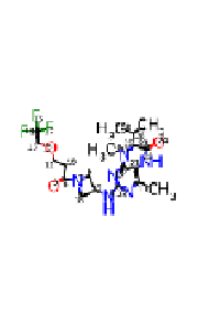 Cc1nc(NC2CN(C(=O)CCOCC(F)(F)F)C2)nc2c1NC(=O)[C@H](C(C)C)N2C